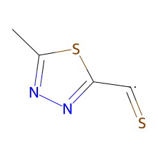 Cc1nnc([C]=S)s1